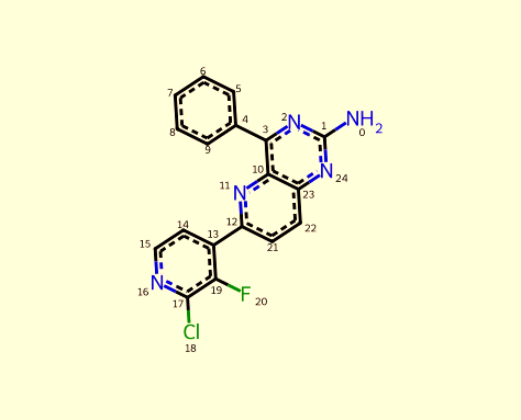 Nc1nc(-c2ccccc2)c2nc(-c3ccnc(Cl)c3F)ccc2n1